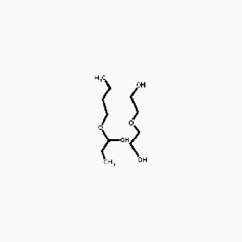 CCCCOC(O)CC.OCCOCCO